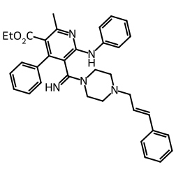 CCOC(=O)c1c(C)nc(Nc2ccccc2)c(C(=N)N2CCN(C/C=C/c3ccccc3)CC2)c1-c1ccccc1